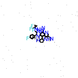 CC1(C)CCCC1Nc1c(C#N)cnc2c(C#N)cc(NC(C3=CN(C4(C(F)(F)F)CC4)NN3)c3ccc(F)cc3)cc12